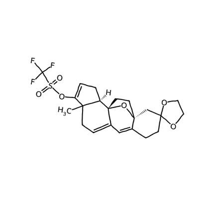 CC12CC=C3C=C4CCC5(C[C@]46CC[C@]3(O6)[C@@H]1CC=C2OS(=O)(=O)C(F)(F)F)OCCO5